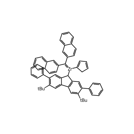 CC(C)(C)c1cc2c(cc1-c1ccccc1)[CH]([Zr]([C]1=CC=CC1)=[C](c1ccc3ccccc3c1)c1ccc3ccccc3c1)c1cc(-c3ccccc3)c(C(C)(C)C)cc1-2